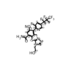 Cc1c(Sc2nnnn2CCO)c(C(N)=O)cc([N+](=O)[O-])c1-c1ncc(C(F)(F)C(F)(F)C(F)(F)F)cc1F